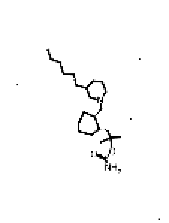 CCCCCCC1CCCN(C[C@@H]2CCCC[C@H]2CC(C)(C)OC(N)=O)C1